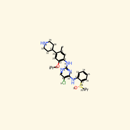 Cc1cc(Nc2ncc(Cl)c(Nc3ccccc3[S+]([O-])C(C)C)n2)c(OC(C)C)cc1C1CCNCC1